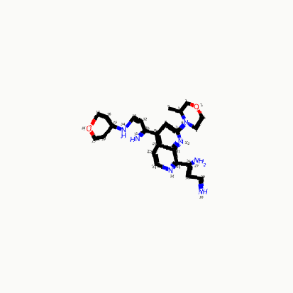 CC1COCCN1c1cc(C(=N)/C=C\NC2CCOCC2)c2ccnc(/C(N)=C/C=N)c2n1